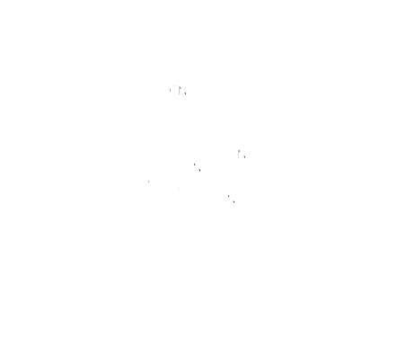 N#Cc1ccccc1Cn1c(N2CCCCC2)nc2c(C(F)(F)F)csc2c1=O